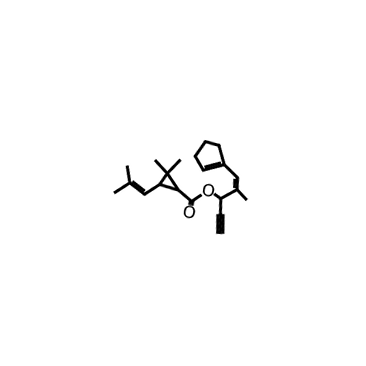 C#CC(OC(=O)C1C(C=C(C)C)C1(C)C)C(C)=CC1=CCCC1